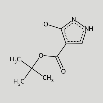 CC(C)(C)OC(=O)c1c[nH]nc1[O]